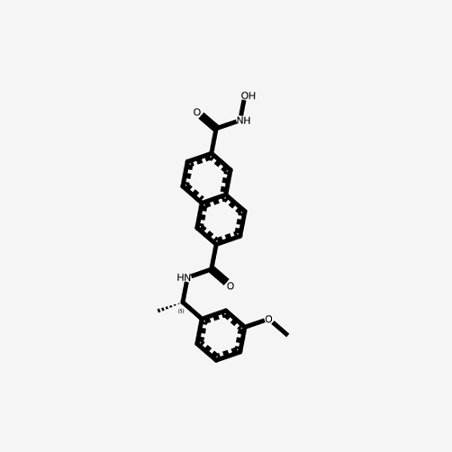 COc1cccc([C@H](C)NC(=O)c2ccc3cc(C(=O)NO)ccc3c2)c1